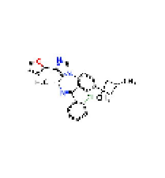 CC1CC(C)(c2ccc3c(c2)C(c2ccccc2Cl)=N[C@H](C)c2c(-c4ccco4)ncn2-3)C1